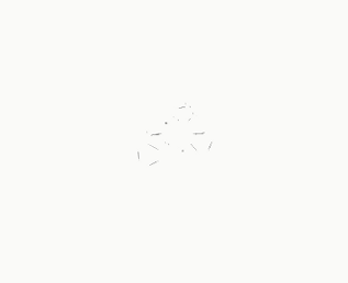 Cc1nnc2n1[C@@H]1C[C@H](c3c(OC(F)F)cccc3-2)n2c1nc1cc(F)c(Cl)cc12